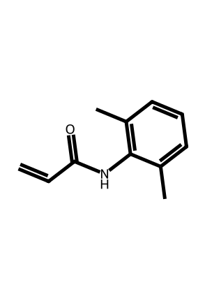 C=CC(=O)Nc1c(C)cccc1C